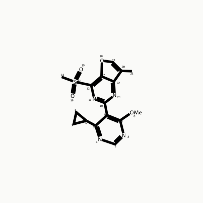 COc1ncnc(C2CC2)c1-c1nc(S(C)(=O)=O)c2occ(C)c2n1